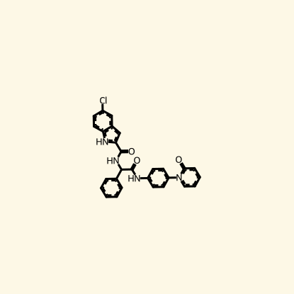 O=C(NC(C(=O)Nc1ccc(-n2ccccc2=O)cc1)c1ccccc1)c1cc2cc(Cl)ccc2[nH]1